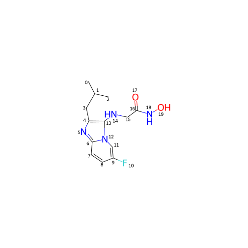 CC(C)Cc1nc2ccc(F)cn2c1NCC(=O)NO